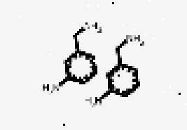 NCc1cccc(N)c1.NCc1cccc(N)c1